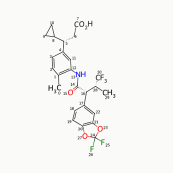 Cc1ccc([C@@H](CC(=O)O)C2CC2)cc1NC(=O)[C@@H](c1ccc2c(c1)OC(F)(F)O2)[C@@H](C)C(F)(F)F